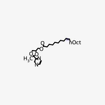 CCCCCCCC/C=C\CCCCCCCC(=O)OCC1COC(C)(c2cnccn2)O1